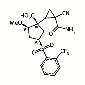 CO[C@@H]1C[C@H](S(=O)(=O)c2ccccc2C(F)(F)F)C[C@@]1(C(=O)O)C1CC1(C#N)C(N)=O